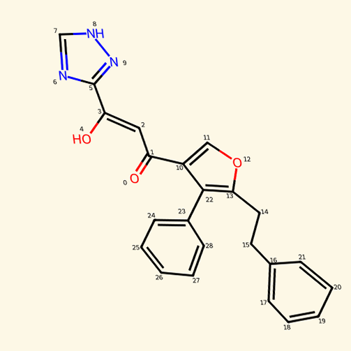 O=C(C=C(O)c1nc[nH]n1)c1coc(CCc2ccccc2)c1-c1ccccc1